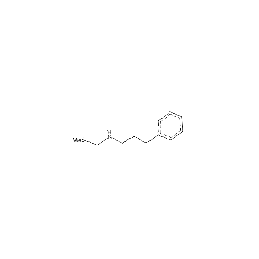 CSCNCCCc1ccccc1